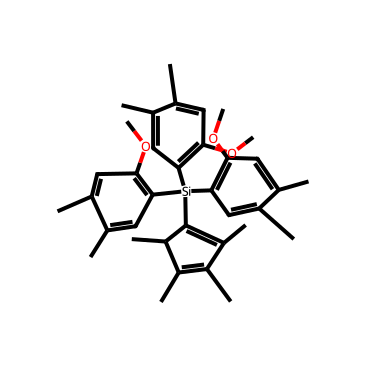 COc1cc(C)c(C)cc1[Si](C1=C(C)C(C)=C(C)C1C)(c1cc(C)c(C)cc1OC)c1cc(C)c(C)cc1OC